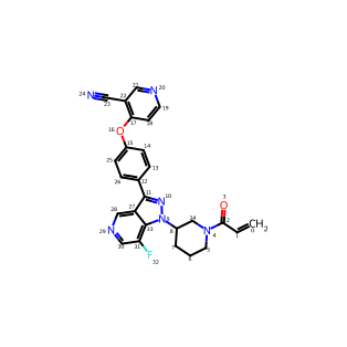 C=CC(=O)N1CCCC(n2nc(-c3ccc(Oc4ccncc4C#N)cc3)c3cncc(F)c32)C1